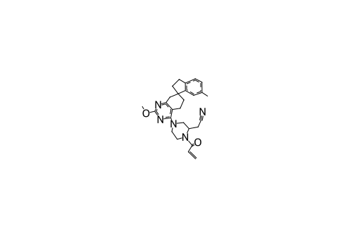 C=CC(=O)N1CCN(c2nc(OC)nc3c2CCC2(CCc4ccc(C)cc42)C3)CC1CC#N